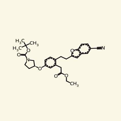 CCOC(=O)Cc1cc(O[C@H]2CCN(C(=O)OC(C)(C)C)C2)ccc1CCc1cc2cc(C#N)ccc2o1